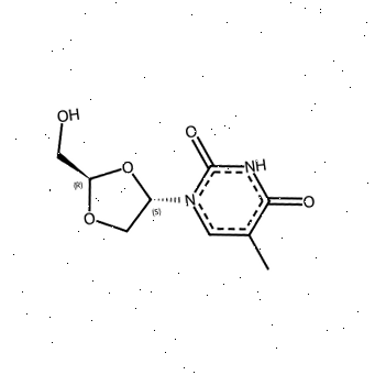 Cc1cn([C@@H]2CO[C@@H](CO)O2)c(=O)[nH]c1=O